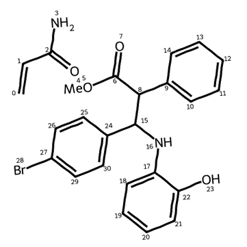 C=CC(N)=O.COC(=O)C(c1ccccc1)C(Nc1ccccc1O)c1ccc(Br)cc1